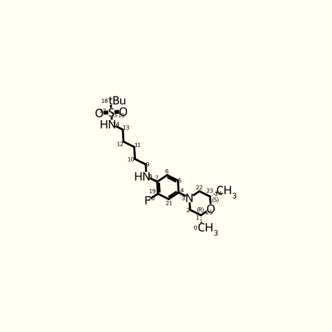 C[C@@H]1CN(c2ccc(NCCCCCNS(=O)(=O)C(C)(C)C)c(F)c2)C[C@H](C)O1